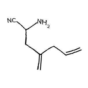 C=CCC(=C)CC(N)C#N